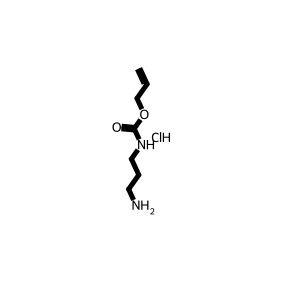 C=CCOC(=O)NCCCN.Cl